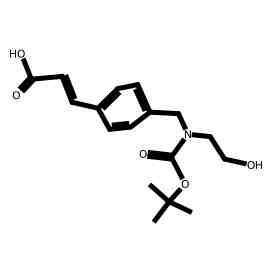 CC(C)(C)OC(=O)N(CCO)Cc1ccc(/C=C/C(=O)O)cc1